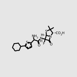 CC1(C)S[C@H]2N(C(=O)C2(F)NC(=O)C(N)c2ccc(C3CCCCC3)s2)[C@H]1C(=O)O